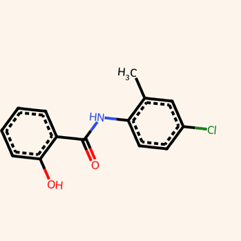 Cc1cc(Cl)ccc1NC(=O)c1ccccc1O